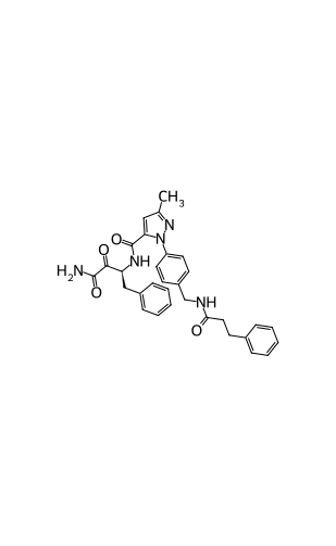 Cc1cc(C(=O)N[C@@H](Cc2ccccc2)C(=O)C(N)=O)n(-c2ccc(CNC(=O)CCc3ccccc3)cc2)n1